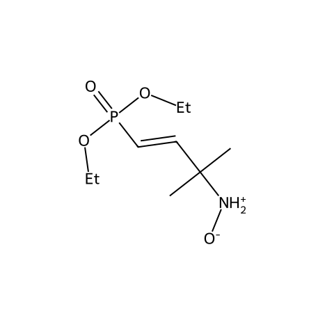 CCOP(=O)(C=CC(C)(C)[NH2+][O-])OCC